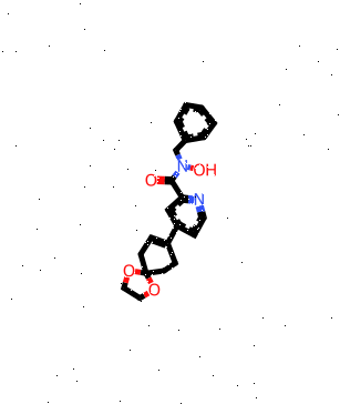 O=C(c1cc(C2=CCC3(CC2)OCCO3)ccn1)N(O)Cc1ccccc1